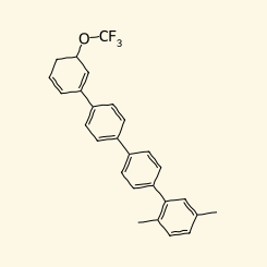 Cc1ccc(C)c(-c2ccc(-c3ccc(C4=CC(OC(F)(F)F)CC=C4)cc3)cc2)c1